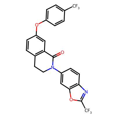 O=C1c2cc(Oc3ccc(C(F)(F)F)cc3)ccc2CCN1c1ccc2nc(C(F)(F)F)oc2c1